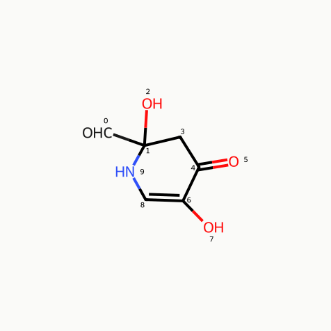 O=CC1(O)CC(=O)C(O)=CN1